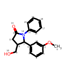 COc1cccc(C2C(CO)CC(=O)N2c2ccccc2)c1